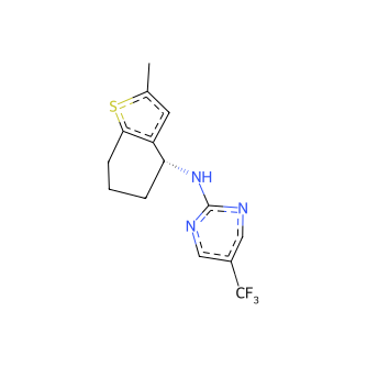 Cc1cc2c(s1)CCC[C@H]2Nc1ncc(C(F)(F)F)cn1